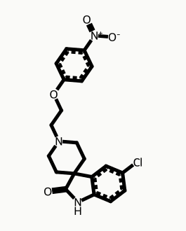 O=C1Nc2ccc(Cl)cc2C12CCN(CCOc1ccc([N+](=O)[O-])cc1)CC2